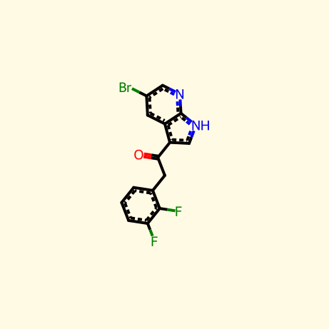 O=C(Cc1cccc(F)c1F)c1c[nH]c2ncc(Br)cc12